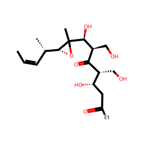 C/C=C\[C@H](C)[C@H]1OC1(C)[C@@H](O)[C@@H](CO)C(=O)[C@H](CO)[C@@H](O)CC(=O)CC